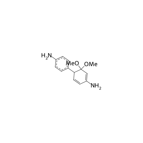 COC1(OC)C=C(N)C=CC1c1ccc(N)cc1